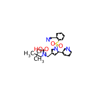 CC(C)(C)CN(Cc1cc(-c2cccnc2)n(S(=O)(=O)c2ccccc2C#N)c1)C(=O)O